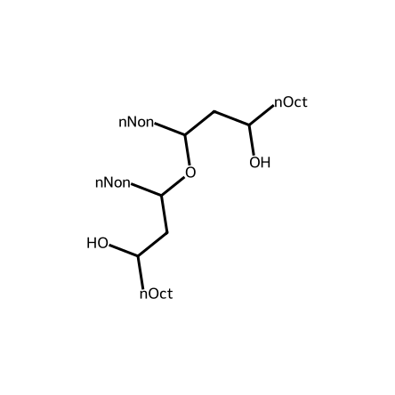 CCCCCCCCCC(CC(O)CCCCCCCC)OC(CCCCCCCCC)CC(O)CCCCCCCC